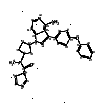 CN(C(=O)n1cncn1)C1CCC(n2nc(-c3ccc(Oc4ccccc4)cc3)c3c(N)ncnc32)C1